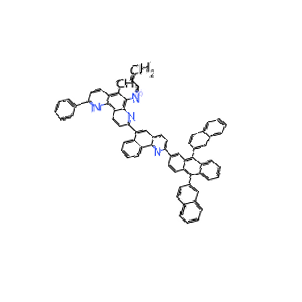 C=C/C=N\c1c(C)c2ccc(-c3ccccc3)nc2c2ccc(-c3cc4ccc(-c5ccc6c(-c7ccc8ccccc8c7)c7ccccc7c(-c7ccc8ccccc8c7)c6c5)nc4c4ccccc34)nc12